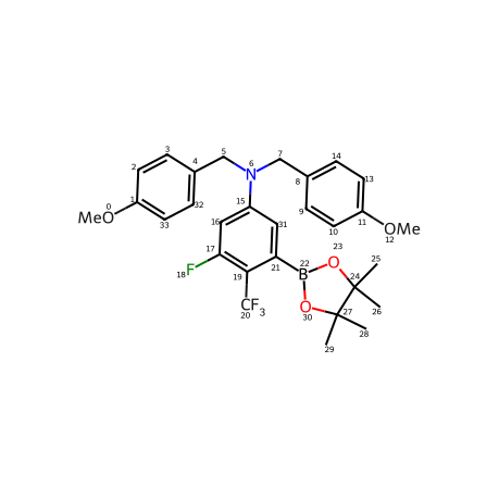 COc1ccc(CN(Cc2ccc(OC)cc2)c2cc(F)c(C(F)(F)F)c(B3OC(C)(C)C(C)(C)O3)c2)cc1